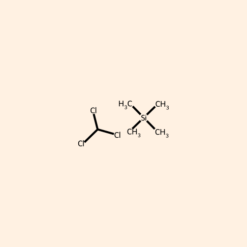 C[Si](C)(C)C.ClC(Cl)Cl